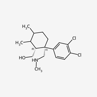 CNC[C@@]1(c2ccc(Cl)c(Cl)c2)CCC(C)C(C)[C@H]1CO